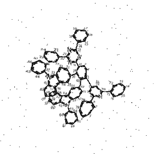 c1ccc(-c2cc(-c3ccc(-c4nc(-c5ccccc5)nc(-c5ccccc5)n4)c(-c4ccc5c(c4)c4ccccc4n5-c4ccccc4)c3-c3ccc4c(c3)c3ccccc3n4-c3ccccc3)cc(-c3ccccc3)n2)cc1